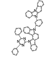 c1ccc(-c2nc(-c3ccccc3)nc(-n3c4ccccc4c4ccc5c(c6ccccc6n5-c5cccc(-n6c7ccccc7n7c8ccccc8cc67)c5)c43)n2)cc1